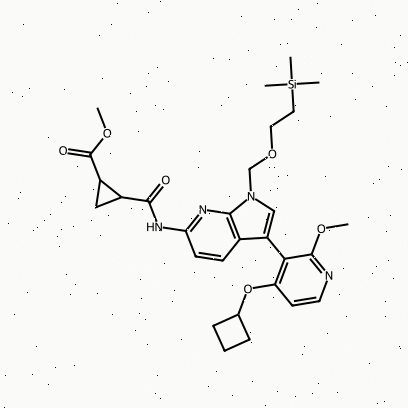 COC(=O)C1CC1C(=O)Nc1ccc2c(-c3c(OC4CCC4)ccnc3OC)cn(COCC[Si](C)(C)C)c2n1